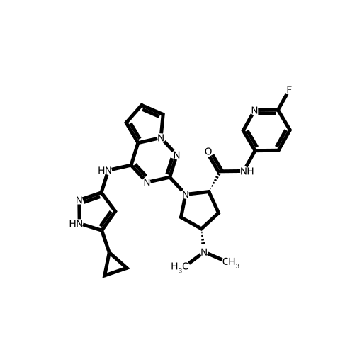 CN(C)[C@H]1C[C@@H](C(=O)Nc2ccc(F)nc2)N(c2nc(Nc3cc(C4CC4)[nH]n3)c3cccn3n2)C1